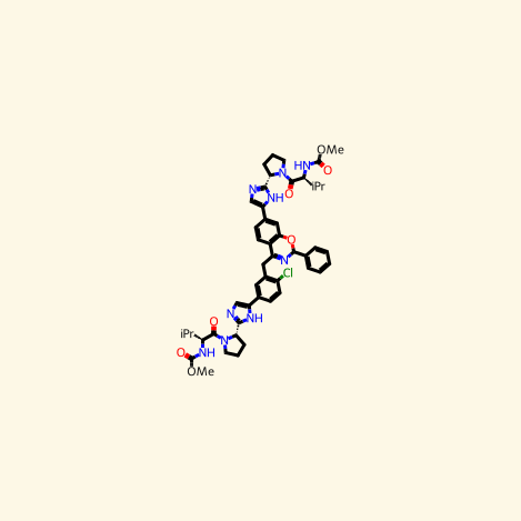 COC(=O)N[C@H](C(=O)N1CCC[C@H]1c1ncc(-c2ccc(Cl)c(CC3=NC(c4ccccc4)Oc4cc(-c5cnc([C@@H]6CCCN6C(=O)[C@@H](NC(=O)OC)C(C)C)[nH]5)ccc43)c2)[nH]1)C(C)C